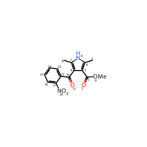 COC(=O)c1c(C)[nH]c(C)c1C(=O)c1ccccc1[N+](=O)[O-]